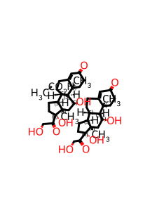 CC(=O)O.C[C@]12CCC(=O)C=C1CC[C@@H]1[C@@H]2[C@@H](O)C[C@@]2(C)[C@H]1CC[C@]2(O)C(=O)CO.C[C@]12CCC(=O)C=C1CC[C@@H]1[C@@H]2[C@@H](O)C[C@@]2(C)[C@H]1CC[C@]2(O)C(=O)CO